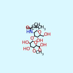 CO[C@@H]1C(C(=O)O)O[C@@H](OC2[C@@H](O)C(CO)O[C@@H](C(C)(C)C)[C@H]2NC(C)=O)C(O)[C@H]1O